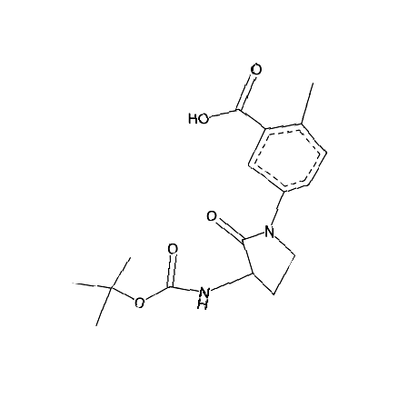 Cc1ccc(N2CCC(NC(=O)OC(C)(C)C)C2=O)cc1C(=O)O